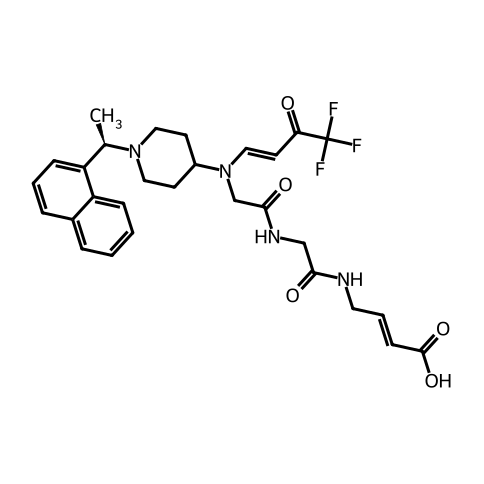 C[C@H](c1cccc2ccccc12)N1CCC(N(/C=C/C(=O)C(F)(F)F)CC(=O)NCC(=O)NC/C=C/C(=O)O)CC1